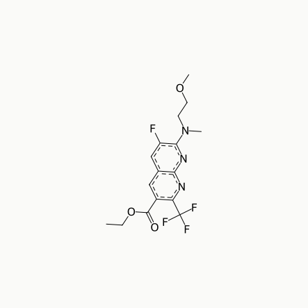 CCOC(=O)c1cc2cc(F)c(N(C)CCOC)nc2nc1C(F)(F)F